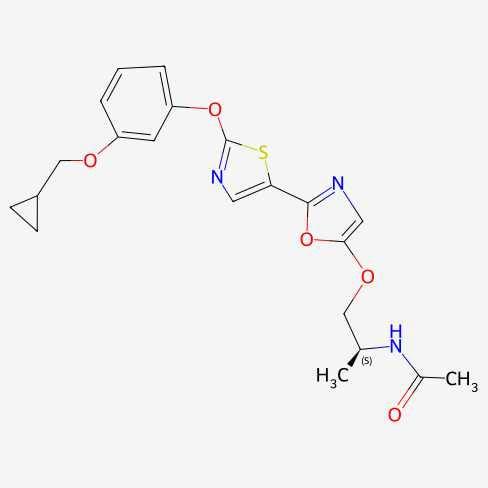 CC(=O)N[C@@H](C)COc1cnc(-c2cnc(Oc3cccc(OCC4CC4)c3)s2)o1